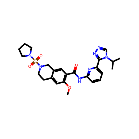 COc1cc2c(cc1C(=O)Nc1cccc(-c3nncn3C(C)C)n1)CN(S(=O)(=O)N1CCCC1)CC2